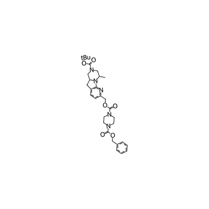 CC1CN(C(=O)OC(C)(C)C)CC2Cc3ccc(COC(=O)N4CCN(C(=O)OCc5ccccc5)CC4)nc3N12